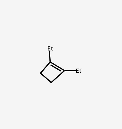 CCC1=C(CC)CC1